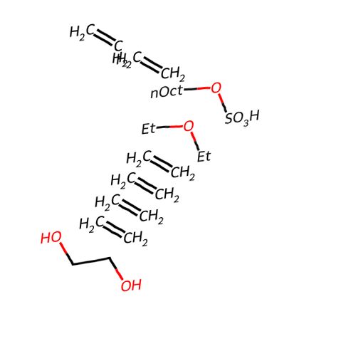 C=C.C=C.C=C.C=C.C=C.C=C.CCCCCCCCOS(=O)(=O)O.CCOCC.OCCO